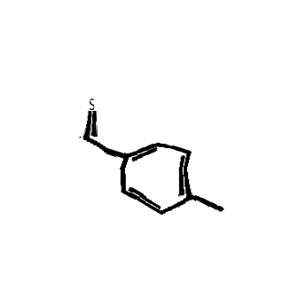 Cc1ccc([C]=S)cc1